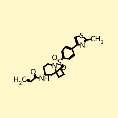 C=CC(=O)NC1CCN(S(=O)(=O)c2ccc(-c3csc(C)n3)cc2)C2(CCC2)C1